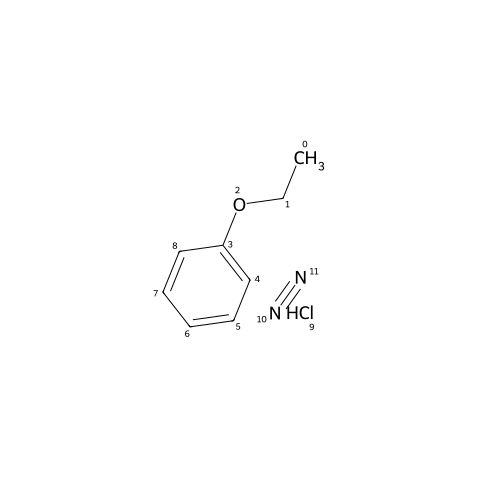 CCOc1ccccc1.Cl.N#N